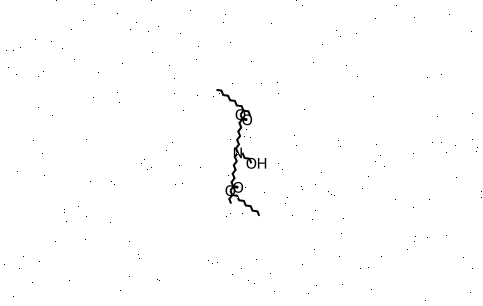 CCCCCCCCC(CC)OC(=O)CCCCCCCN(CCCO)CCCCCCCC(=O)OC(CC)CCCCCCCC